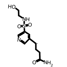 NC(=O)CC[CH]c1cncc(S(=O)(=O)NCCO)c1